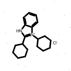 [Cl-].c1ccc2c(c1)[nH]c(C1CCCCC1)[n+]2C1CCCCC1